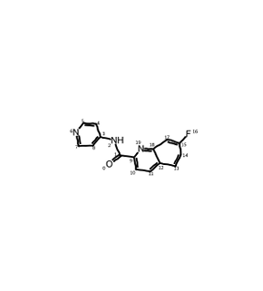 O=C(Nc1ccncc1)c1ccc2ccc(F)cc2n1